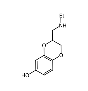 CCNCC1COc2ccc(O)cc2O1